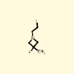 CC1(F)CN(CCI)C1